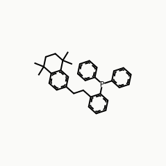 CC1(C)CCC(C)(C)c2cc(CCc3ccccc3P(c3ccccc3)c3ccccc3)ccc21